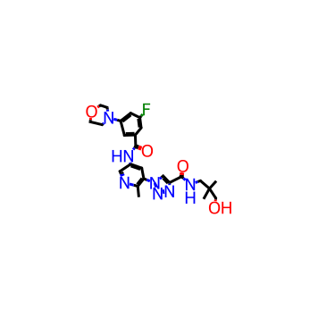 Cc1ncc(NC(=O)c2cc(F)cc(N3CCOCC3)c2)cc1-n1cc(C(=O)NCC(C)(C)CO)nn1